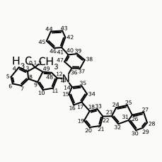 CC1(C)c2ccccc2-c2ccc(N(c3ccc(-c4cccc(-c5ccc6ccccc6c5)c4)cc3)c3cccc(-c4ccccc4)c3)cc21